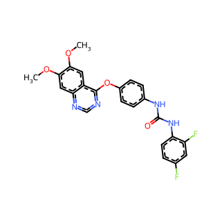 COc1cc2ncnc(Oc3ccc(NC(=O)Nc4ccc(F)cc4F)cc3)c2cc1OC